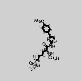 COc1ccc(-c2csc(NC(=O)C(CCCCNS(N)(=O)=O)NC(=O)O)n2)cc1